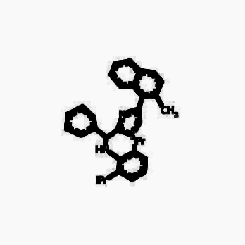 Cc1ccc2ccccc2c1-c1csc(C(Nc2c(C(C)C)cccc2C(C)C)c2ccccc2)n1